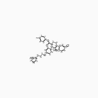 Cc1ccc(OC(=O)N2CCc3c([nH]c4ccc(Cl)cc34)C2c2ccc(OCCCN3C=NCN3)cc2)cc1